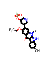 CC(C)n1c2cc(-c3cncc(OS(=O)(=O)F)c3)c(OCC(F)(F)F)cc2c(=O)c2c3ccc(C#N)cc3[nH]c21